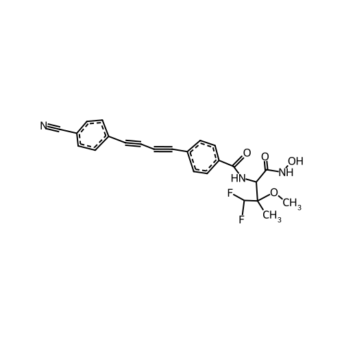 COC(C)(C(F)F)C(NC(=O)c1ccc(C#CC#Cc2ccc(C#N)cc2)cc1)C(=O)NO